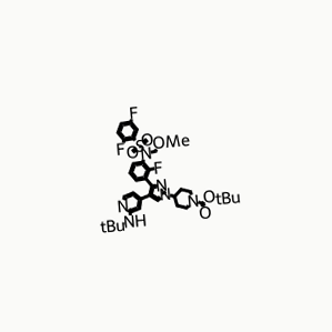 COCN(c1cccc(-c2nn(C3CCN(C(=O)OC(C)(C)C)CC3)cc2-c2ccnc(NC(C)(C)C)c2)c1F)S(=O)(=O)c1cc(F)ccc1F